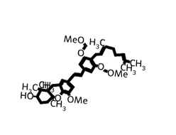 COCOc1cc(/C=C/c2cc3c(c(OC)c2)O[C@]2(C)CC[C@@H](O)C(C)(C)[C@H]2C3)cc(OCOC)c1C/C=C(\C)CCC=C(C)C